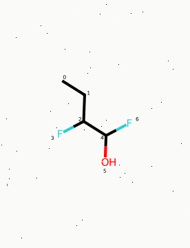 CCC(F)C(O)F